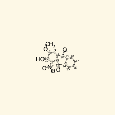 COc1cc2c(c([N+](=O)[O-])c1O)C(=O)c1ccccc1C2=O